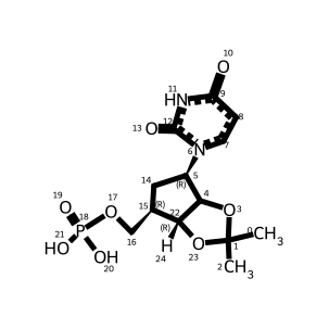 CC1(C)OC2[C@H](n3ccc(=O)[nH]c3=O)C[C@H](COP(=O)(O)O)[C@H]2O1